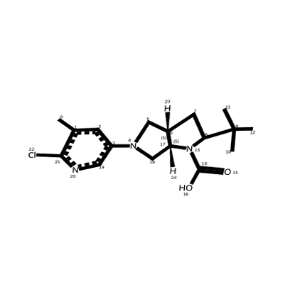 Cc1cc(N2C[C@@H]3CC(C(C)(C)C)N(C(=O)O)[C@@H]3C2)cnc1Cl